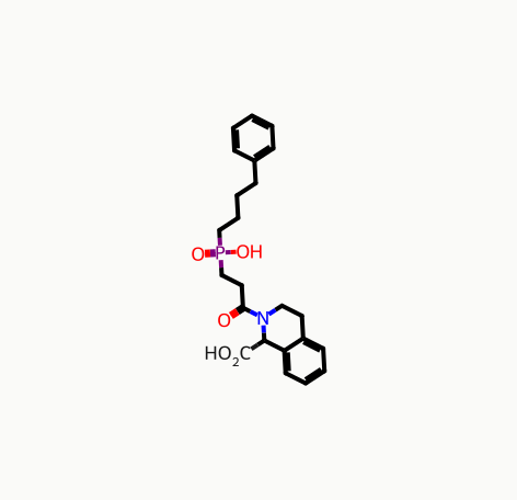 O=C(O)C1c2ccccc2CCN1C(=O)CCP(=O)(O)CCCCc1ccccc1